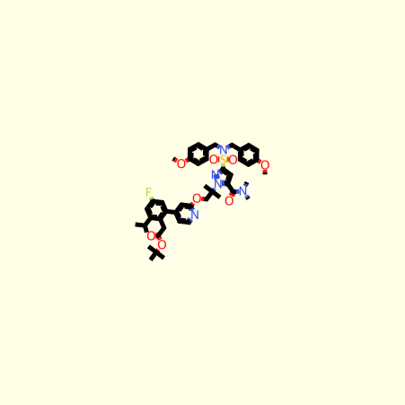 COc1ccc(CN(Cc2ccc(OC)cc2)S(=O)(=O)c2cc(C(=O)N(C)C)n(C(C)(C)COc3cc(-c4cc(F)cc(C(C)C)c4CC(=O)OC(C)(C)C)ccn3)n2)cc1